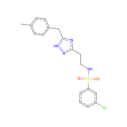 Cc1ccc(Cc2nc(CCNS(=O)(=O)c3cccc(Cl)c3)n[nH]2)cc1